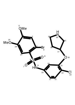 COc1cc(Br)c(S(=O)(=O)Nc2ccc(Cl)c(OC3CCNC3)c2)cc1OC